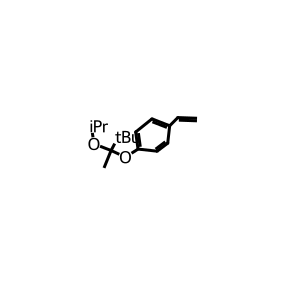 C=Cc1ccc(OC(C)(OC(C)C)C(C)(C)C)cc1